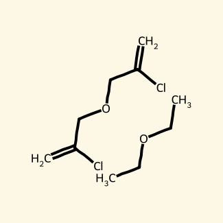 C=C(Cl)COCC(=C)Cl.CCOCC